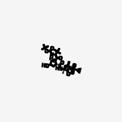 C=CC[C@](C)(NC(=O)[C@@H]1C[C@@H](O)CN1C(=O)[C@@H](NC(=O)OC(C)(C)C)C(C)(C)C)C(=O)NS(=O)(=O)C1CC1